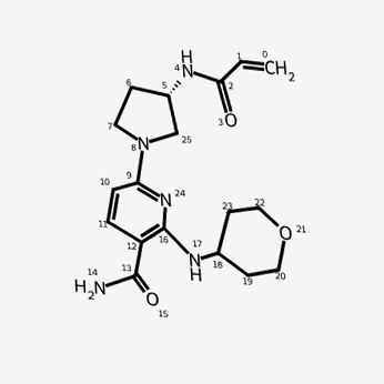 C=CC(=O)N[C@H]1CCN(c2ccc(C(N)=O)c(NC3CCOCC3)n2)C1